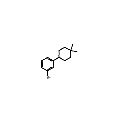 CC(C)c1cccc(C2CCC(C)(C)CC2)c1